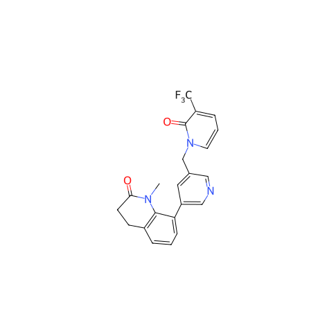 CN1C(=O)CCc2cccc(-c3cncc(Cn4cccc(C(F)(F)F)c4=O)c3)c21